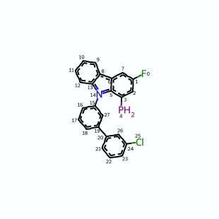 Fc1cc(P)c2c(c1)c1ccccc1n2-c1cccc(-c2cccc(Cl)c2)c1